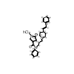 CN1CC(C(=O)N(CCCN2CCC(C=Cc3ccccc3)CC2)c2ccccc2)CC1=O.Cl